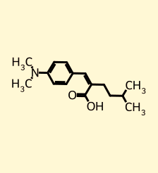 CC(C)CCC(=Cc1ccc(N(C)C)cc1)C(=O)O